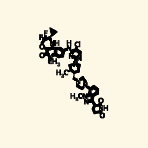 C[C@H]1CN(c2ncc(Cl)c(Nc3ccc4c(c3)c3c(c(=O)n4C)OCC(F)(F)[C@H](C4CC4)N3)n2)CC[C@@H]1CN1CCN(c2cccc3c(C4CCC(=O)NC4=O)nn(C)c23)CC1